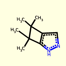 CC1(C)c2cn[nH]c2C1(C)C